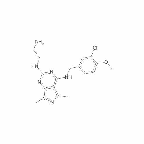 COc1ccc(CNc2nc(NCCN)nc3c2c(C)nn3C)cc1Cl